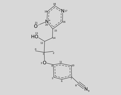 CC(C)(Oc1ccc(C#N)cc1)C(O)Cc1cncc[n+]1[O-]